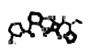 CC[C@@H](Nc1c(Nc2cccc(C(=O)N3CCCC(O)C3)c2O)c(=O)c1=O)c1ccco1